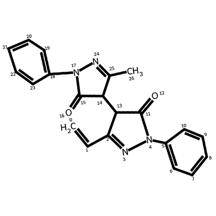 C=CC1=NN(c2ccccc2)C(=O)C1C1C(=O)N(c2ccccc2)N=C1C